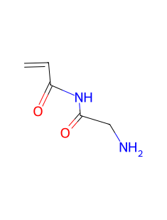 C=CC(=O)NC(=O)CN